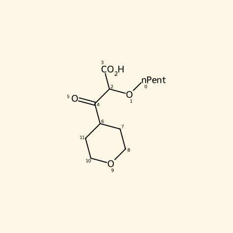 CCCCCOC(C(=O)O)C(=O)C1CCOCC1